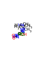 CN(c1ncc(-c2ccc(-n3ncc([N+](=O)[O-])n3)cc2O)nn1)C1CC(C)(C)NC(C)(C)C1.Cl.Cl